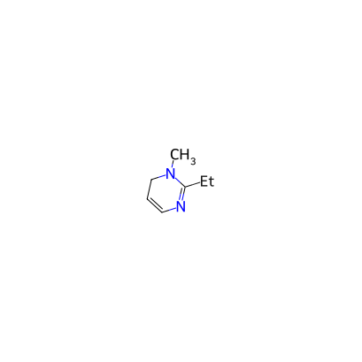 [CH2]CC1=NC=CCN1C